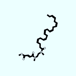 CC/C=C\C/C=C\C/C=C\C/C=C\C/C=C\C/C=C\CCC(=O)N(C)CCN(C)C(=O)/C=C/C(=O)OC